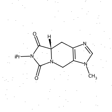 CC(C)N1C(=O)[C@@H]2Cc3ncn(C)c3CN2C1=O